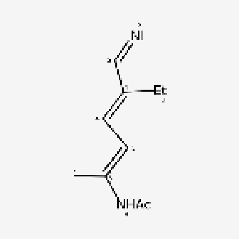 CC/C(C=N)=C\C=C(/C)NC(C)=O